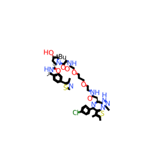 CC1=NNC2[C@H](CC(=O)NCCOCCCOCC(=O)N[C@H](C(=O)N3C[C@H](O)C[C@H]3C(=O)N[C@@H](C)c3ccc(-c4scnc4C)cc3)C(C)(C)C)N=C(c3ccc(Cl)cc3)c3c(sc(C)c3C)N12